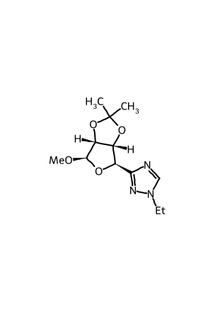 CCn1cnc([C@H]2O[C@@H](OC)[C@@H]3OC(C)(C)O[C@@H]32)n1